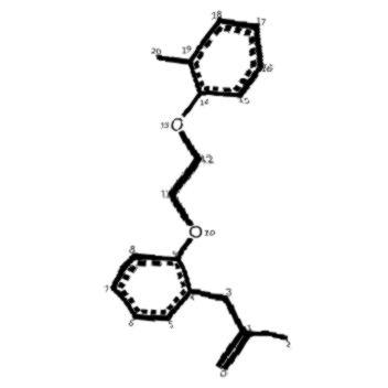 C=C(C)Cc1ccccc1OCCOc1ccccc1C